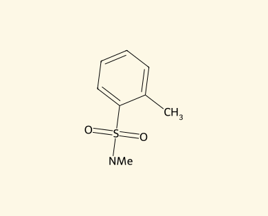 [CH2-][NH2+]S(=O)(=O)c1ccccc1C